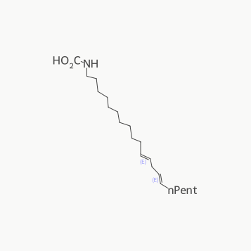 CCCCC/C=C/C/C=C/CCCCCCCCCCNC(=O)O